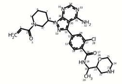 C=CC(=O)N1CCCC(n2nc(-c3ccc(C(=O)NC(C)C4CNCCO4)c(Cl)c3)c3c(N)ncnc32)C1